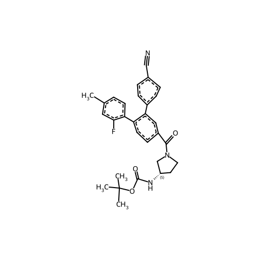 Cc1ccc(-c2ccc(C(=O)N3CC[C@H](NC(=O)OC(C)(C)C)C3)cc2-c2ccc(C#N)cc2)c(F)c1